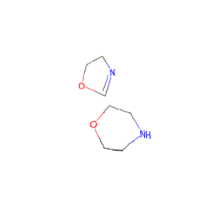 C1=NCCO1.C1COCCN1